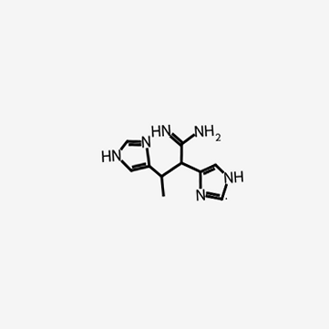 CC(c1c[nH]cn1)C(C(=N)N)c1c[nH][c]n1